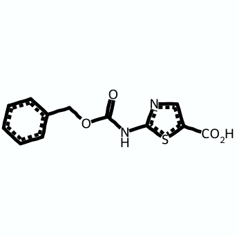 O=C(Nc1ncc(C(=O)O)s1)OCc1ccccc1